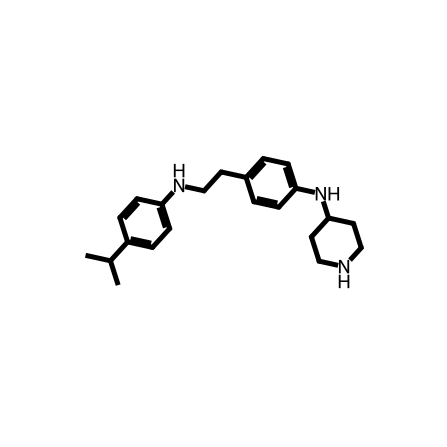 CC(C)c1ccc(NCCc2ccc(NC3CCNCC3)cc2)cc1